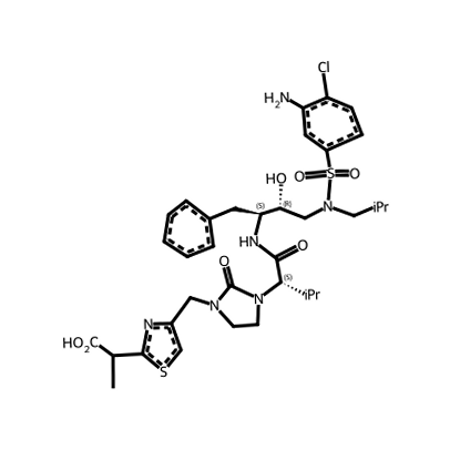 CC(C)CN(C[C@@H](O)[C@H](Cc1ccccc1)NC(=O)[C@H](C(C)C)N1CCN(Cc2csc(C(C)C(=O)O)n2)C1=O)S(=O)(=O)c1ccc(Cl)c(N)c1